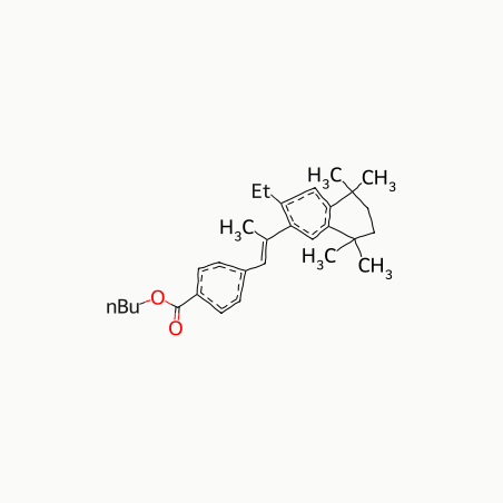 CCCCOC(=O)c1ccc(/C=C(\C)c2cc3c(cc2CC)C(C)(C)CCC3(C)C)cc1